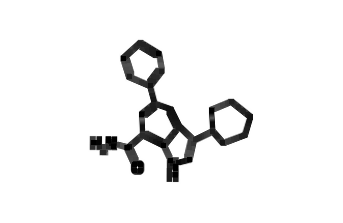 NC(=O)c1cc(-c2ccccc2)cc2c(C3CCCCC3)c[nH]c12